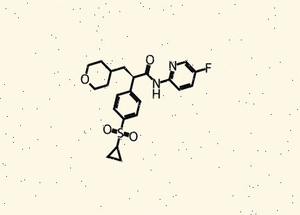 O=C(Nc1ccc(F)cn1)[C@H](CC1CCOCC1)c1ccc(S(=O)(=O)C2CC2)cc1